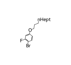 CCCCCCCCCCOc1ccc(Br)c(F)c1